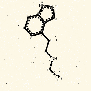 FC(F)(F)CNCCc1cccc2[nH]ncc12